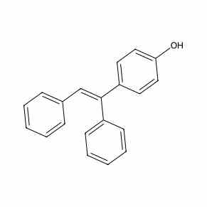 Oc1ccc(/C(=C/c2ccccc2)c2ccccc2)cc1